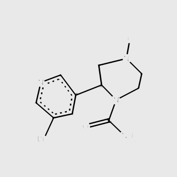 CN1CCN(C(N)=O)C(c2cncc(Br)c2)C1